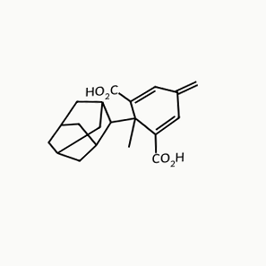 C=C1C=C(C(=O)O)C(C)(C2C3CC4CC(C3)CC2C4)C(C(=O)O)=C1